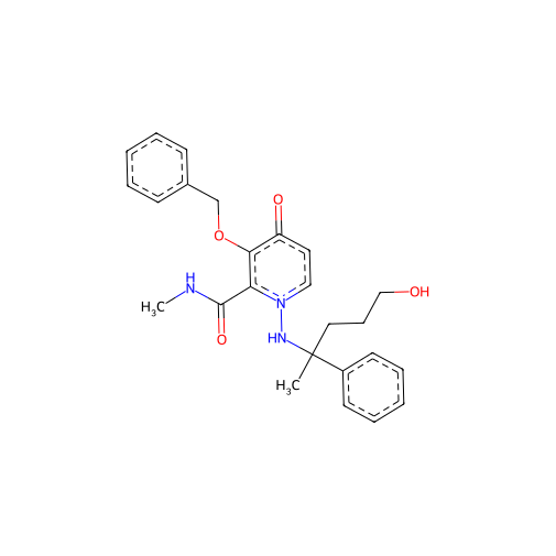 CNC(=O)c1c(OCc2ccccc2)c(=O)ccn1NC(C)(CCCO)c1ccccc1